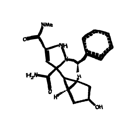 CNC(=O)C1=CC(C(N)=O)(C2[C@H]3CC(O)C[C@@H]23)N([C@@H](C)c2ccccc2)N1